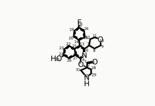 O=C[C@]1(Oc2nc(C3CCOCC3)c(-c3ccc(F)cc3)c3ccc(O)cc23)CCNC1